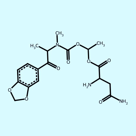 CC(OC(=O)C(N)CC(N)=O)OC(=O)N(C)C(C)C(=O)c1ccc2c(c1)OCO2